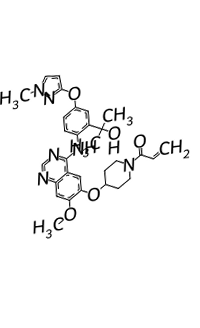 C=CC(=O)N1CCC(Oc2cc3c(Nc4ccc(Oc5ccn(C)n5)cc4C(C)(C)O)ncnc3cc2OC)CC1